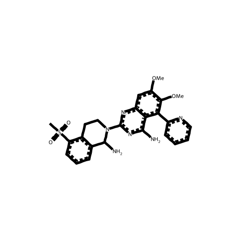 COc1cc2nc(N3CCc4c(cccc4S(C)(=O)=O)C3N)nc(N)c2c(-c2ccccn2)c1OC